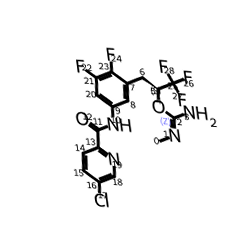 C/N=C(/N)O[C@@H](Cc1cc(NC(=O)c2ccc(Cl)cn2)cc(F)c1F)C(F)(F)F